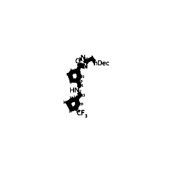 CCCCCCCCCCCc1noc(-c2cccc(CNCc3cccc(C(F)(F)F)c3)c2)n1